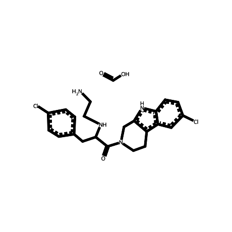 NCCNC(Cc1ccc(Cl)cc1)C(=O)N1CCc2c([nH]c3ccc(Cl)cc23)C1.O=CO